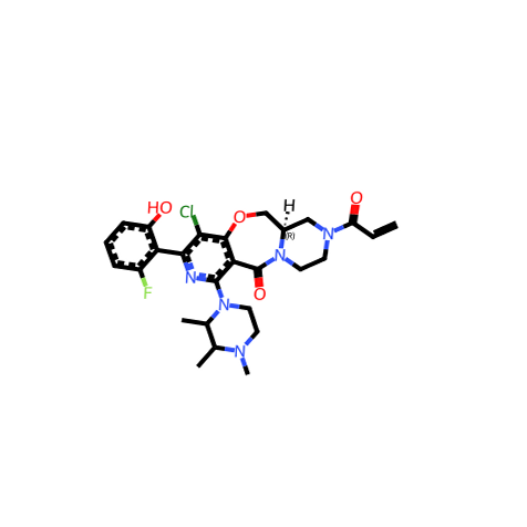 C=CC(=O)N1CCN2C(=O)c3c(N4CCN(C)C(C)C4C)nc(-c4c(O)cccc4F)c(Cl)c3OC[C@H]2C1